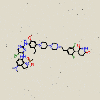 CCc1cc(Nc2ncc(Br)c(Nc3ccc(N(C)C)c4c3N(S(C)(=O)=O)CC4)n2)c(OC)cc1N1CCC(N2CCN(CCC3=CC(F)C([C@H]4CCC(=O)NC4=O)C(F)=C3)CC2)CC1